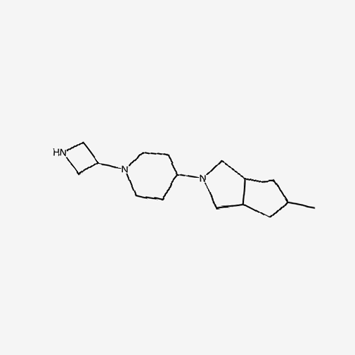 CC1CC2CN(C3CCN(C4CNC4)CC3)CC2C1